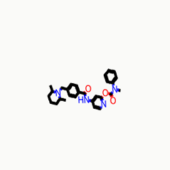 CC1CCCC(C)N1Cc1ccc(C(=O)Nc2ccnc(OC(=O)N(C)c3ccccc3)c2)cc1